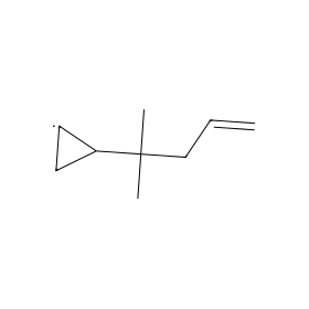 C=CCC(C)(C)C1[CH]C1